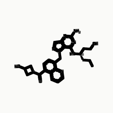 CCC[C@@H](CCO)Nc1nc(N)nc2cnn(Cc3ccc(C(=O)N4CC(O)C4)c4cccnc34)c12